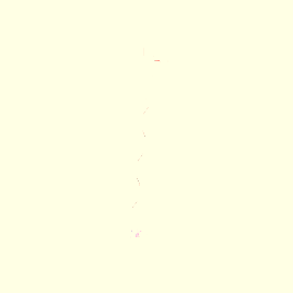 O=C(O)CCCCCC=CCC=CCC=CCC=CCC=CCC[N+](=O)[O-]